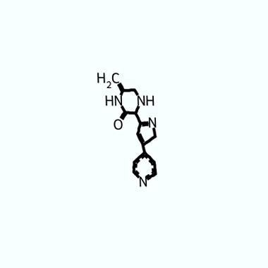 C=C1CNC(C2=NCC(c3ccncc3)=C2)C(=O)N1